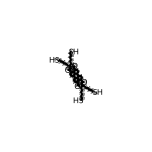 O=C1c2ccc3c4ccc5c6c(ccc(c7ccc(c2c37)C(=O)N1C(CCCCCCS)CCCCCCS)c64)C(=O)N(C(CCCCCCS)CCCCCCS)C5=O